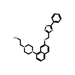 OCCN1CCN(c2cccc3ccc(OCc4nsc(-c5ccccc5)n4)cc23)CC1